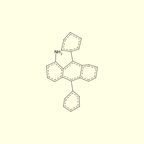 Nc1cccc2c(-c3ccccc3)c3ccccc3c(-c3ccccc3)c12